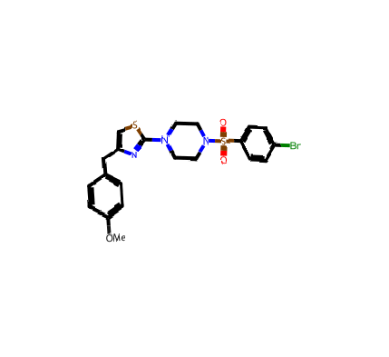 COc1ccc(Cc2csc(N3CCN(S(=O)(=O)c4ccc(Br)cc4)CC3)n2)cc1